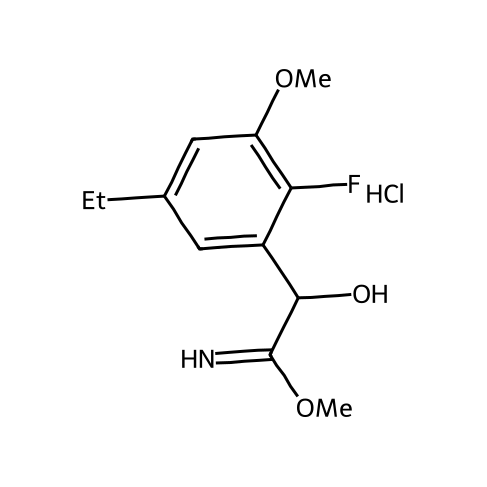 CCc1cc(OC)c(F)c(C(O)C(=N)OC)c1.Cl